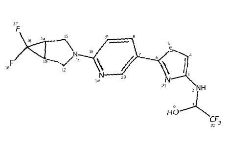 OC(Nc1csc(-c2ccc(N3CC4C(C3)C4(F)F)nc2)n1)C(F)(F)F